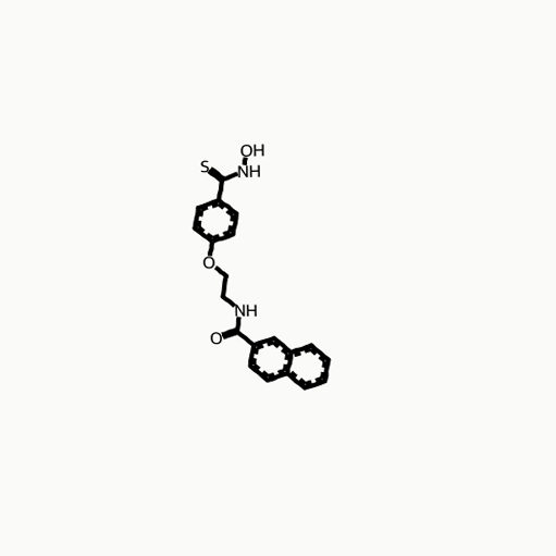 O=C(NCCOc1ccc(C(=S)NO)cc1)c1ccc2ccccc2c1